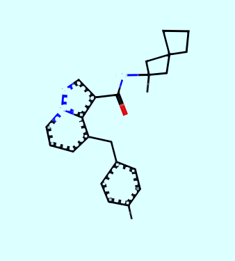 O=C(NC1(C(=O)O)CC2(CCC2)C1)c1cnn2cccc(Cc3ccc(C(F)(F)F)cc3)c12